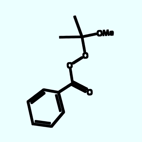 COC(C)(C)OOC(=O)c1ccccc1